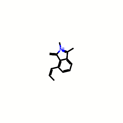 C=C1c2c(/C=C\C)cccc2C(C)=[N+]1C